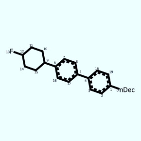 CCCCCCCCCCc1ccc(-c2ccc(C3CCC(F)CC3)cc2)cc1